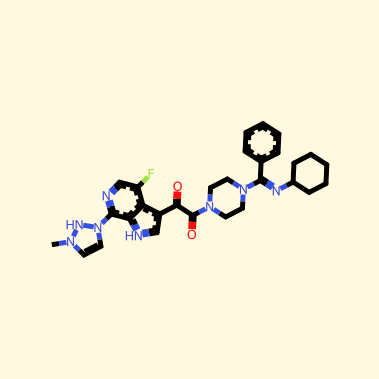 CN1C=CN(c2ncc(F)c3c(C(=O)C(=O)N4CCN(/C(=N/C5CCCCC5)c5ccccc5)CC4)c[nH]c23)N1